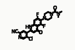 CN(C)C(=O)N1CCN(c2c(F)cc3[nH]c(-c4cc(C#N)ncc4Cl)cc(=O)c3c2F)CC1